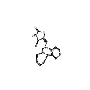 O=C1NC(=O)C(=Cc2cc3ccccc3c3ccccc23)O1